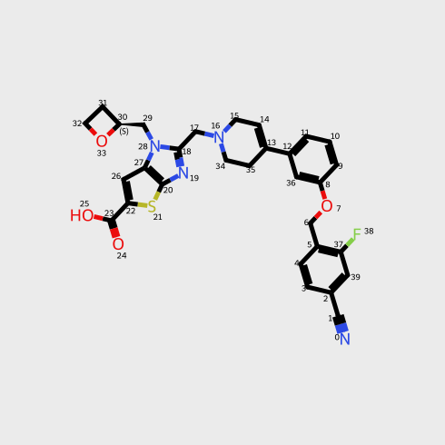 N#Cc1ccc(COc2cccc(C3=CCN(Cc4nc5sc(C(=O)O)cc5n4C[C@@H]4CCO4)CC3)c2)c(F)c1